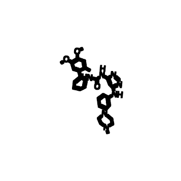 COc1cc(C)c(-c2ccccc2NC(=O)Nc2cc(Nc3cccc(N4CCN(C)CC4)c3)ncn2)cc1OC